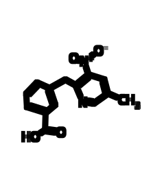 Cc1cnc(Cc2cccc(C(=O)O)c2)c([N+](=O)[O-])c1